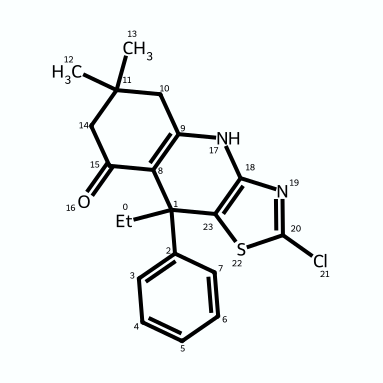 CCC1(c2ccccc2)C2=C(CC(C)(C)CC2=O)Nc2nc(Cl)sc21